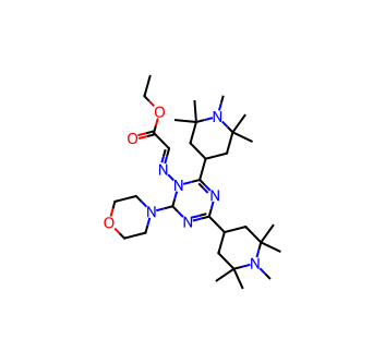 CCOC(=O)C=NN1C(C2CC(C)(C)N(C)C(C)(C)C2)=NC(C2CC(C)(C)N(C)C(C)(C)C2)=NC1N1CCOCC1